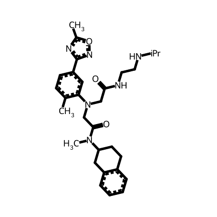 Cc1nc(-c2ccc(C)c(N(CC(=O)NCCNC(C)C)CC(=O)N(C)C3CCc4ccccc4C3)c2)no1